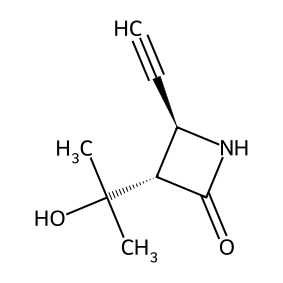 C#C[C@H]1NC(=O)[C@@H]1C(C)(C)O